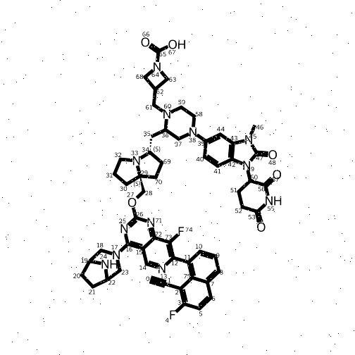 C#Cc1c(F)ccc2cccc(-c3ncc4c(N5CC6CCC(C5)N6)nc(OC[C@@]56CCCN5[C@H](CC5CN(c7ccc8c(c7)n(C)c(=O)n8C7CCC(=O)NC7=O)CCN5CC5CN(C(=O)O)C5)CC6)nc4c3F)c12